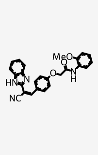 COc1ccccc1NC(=O)COc1ccc(/C=C(/C#N)c2nc3ccccc3[nH]2)cc1